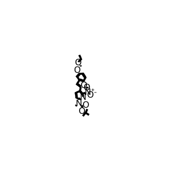 CCOCOc1ccc2oc(-c3ccc(N(C)C(=O)OC(C)(C)C)nc3[N+](=O)[O-])cc2c1